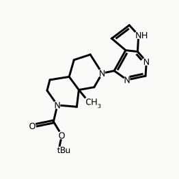 CC(C)(C)OC(=O)N1CCC2CCN(c3ncnc4[nH]ccc34)CC2(C)C1